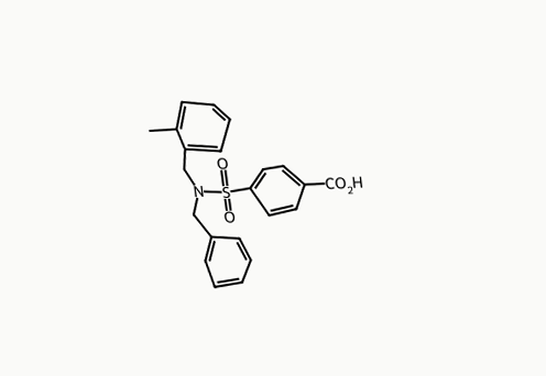 Cc1ccccc1CN(Cc1ccccc1)S(=O)(=O)c1ccc(C(=O)O)cc1